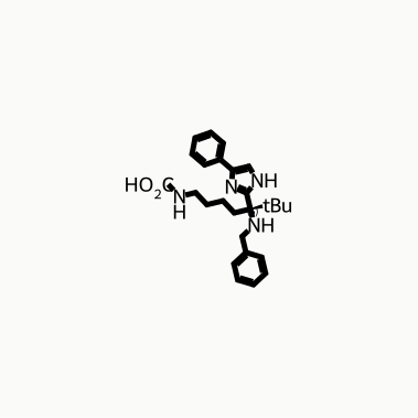 CC(C)(C)[C@](CCCCNC(=O)O)(NCc1ccccc1)c1nc(-c2ccccc2)c[nH]1